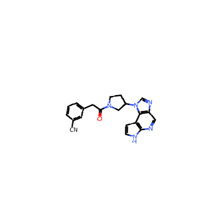 N#Cc1cccc(CC(=O)N2CCC(n3cnc4cnc5[nH]ccc5c43)C2)c1